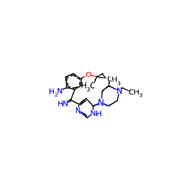 CCN1CCN(C2C=C(C(=N)c3cc(OC4(C)CC4)ccc3N)N=CN2)C[C@H]1C